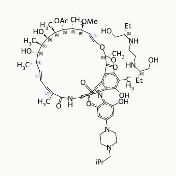 CC[C@@H](CO)NCCN[C@@H](CC)CO.CO[C@H]1/C=C/O[C@@]2(C)Oc3c(C)c(O)c4c(=O)c(c5oc6cc(N7CCN(CC(C)C)CC7)cc(O)c6nc-5c4c3C2=O)NC(=O)/C(C)=C\C=C\[C@H](C)[C@H](O)[C@@H](C)[C@@H](O)[C@@H](C)[C@H](OC(C)=O)[C@@H]1C